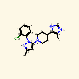 Cc1cc(N2CCC(c3[nH]cnc3C)CC2)n(-c2ccccc2Cl)n1